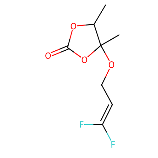 CC1OC(=O)OC1(C)OCC=C(F)F